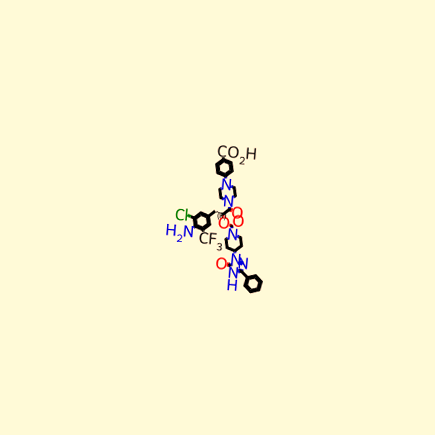 Nc1c(Cl)cc(C[C@@H](OC(=O)N2CCC(n3nc(-c4ccccc4)[nH]c3=O)CC2)C(=O)N2CCN(c3ccc(C(=O)O)cc3)CC2)cc1C(F)(F)F